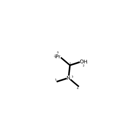 C[C](C)C(O)N(C)C